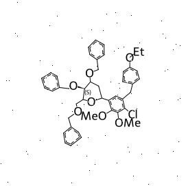 CCOc1ccc(Cc2cc(C3CC(OCc4ccccc4)[C@H](OCc4ccccc4)C(COCc4ccccc4)O3)c(OC)c(OC)c2Cl)cc1